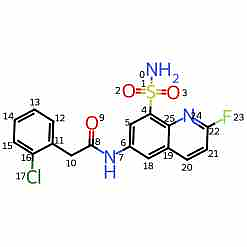 NS(=O)(=O)c1cc(NC(=O)Cc2ccccc2Cl)cc2ccc(F)nc12